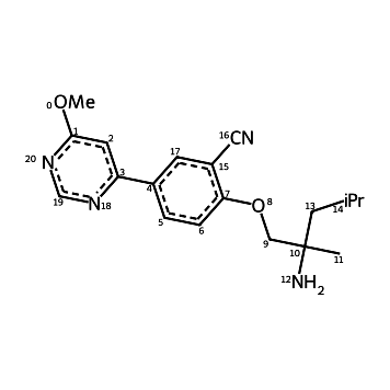 COc1cc(-c2ccc(OCC(C)(N)CC(C)C)c(C#N)c2)ncn1